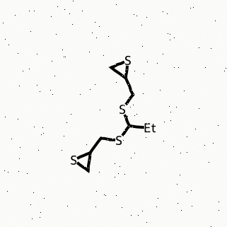 CCC(SCC1CS1)SCC1CS1